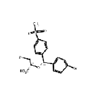 CC(C)C[C@H](O[C@@H](c1ccc(Br)cc1)c1ccc(S(C)(=O)=O)cc1)C(=O)O